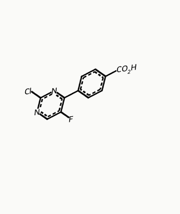 O=C(O)c1ccc(-c2nc(Cl)ncc2F)cc1